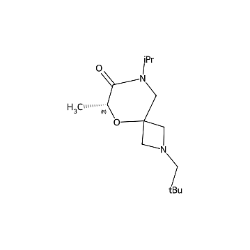 CC(C)N1CC2(CN(CC(C)(C)C)C2)O[C@H](C)C1=O